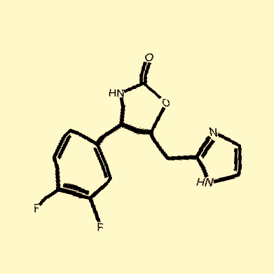 O=C1NC(c2ccc(F)c(F)c2)C(Cc2ncc[nH]2)O1